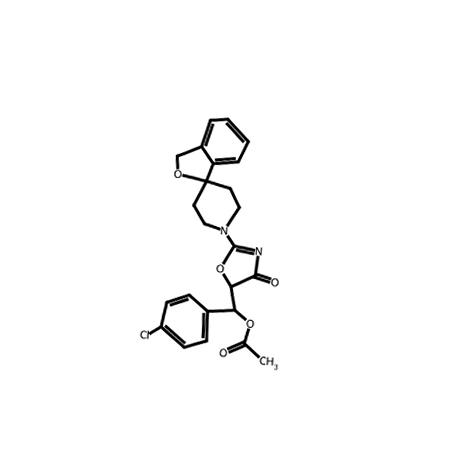 CC(=O)OC(c1ccc(Cl)cc1)C1OC(N2CCC3(CC2)OCc2ccccc23)=NC1=O